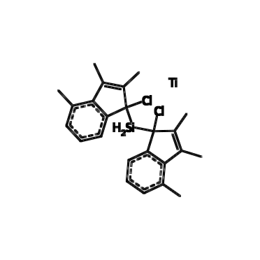 CC1=C(C)C(Cl)([SiH2]C2(Cl)C(C)=C(C)c3c(C)cccc32)c2cccc(C)c21.[Ti]